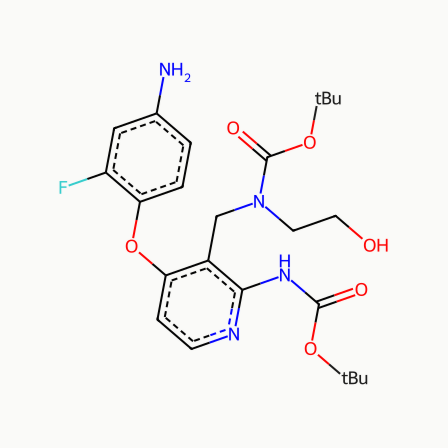 CC(C)(C)OC(=O)Nc1nccc(Oc2ccc(N)cc2F)c1CN(CCO)C(=O)OC(C)(C)C